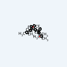 Cc1cc(C)c(-c2ccc3c(c2)c2ccccc2n3-c2cc(-c3c(C(F)(F)F)cccc3C(F)(F)F)c(-n3c4ccccc4c4cc(-c5c(C)cc(C)cc5C)ccc43)cc2C#N)c(C)c1